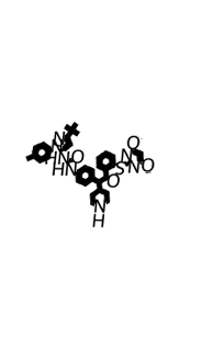 COc1cc(OC)nc(Sc2ccccc2C(=O)C(c2ccc(NC(=O)Nc3cc(C(C)(C)C)nn3-c3ccc(C)cc3)cc2)C2CCNCC2)n1